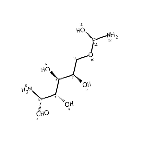 N[C@@H](C=O)[C@@H](O)[C@@H](O)[C@H](O)COP(N)O